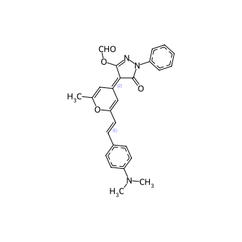 CC1=C/C(=C2/C(=O)N(c3ccccc3)N=C2OC=O)C=C(/C=C/c2ccc(N(C)C)cc2)O1